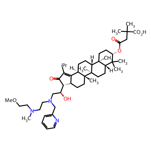 COCCN(C)CCN(Cc1ccccn1)C[C@H](O)[C@@H]1C(=O)C(C(C)C)=C2C1CC[C@]1(C)[C@@H]2CC[C@@H]2[C@@]3(C)CC[C@H](OC(=O)CC(C)(C)C(=O)O)C(C)(C)[C@@H]3CC[C@]21C